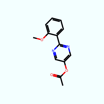 COc1ccccc1-c1ncc(OC(C)=O)cn1